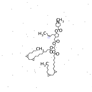 CC/C=C\CC1C(CC(=O)OCC(COC(=O)CCCCCCCC2CC2CC2CC2CCCCC)OC(=O)CCCCCCCC2CC2CC2CC2CCCCC)CCC1OC(=O)C1CCN(C)CC1